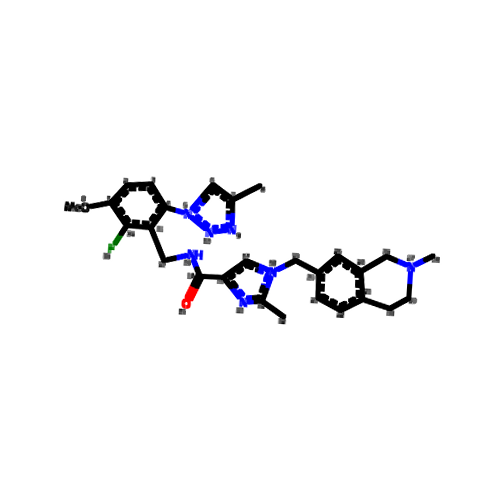 COc1ccc(-n2cc(C)nn2)c(CNC(=O)c2cn(Cc3ccc4c(c3)CN(C)CC4)c(C)n2)c1F